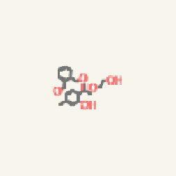 Cc1ccc(C(C)C)c(O)c1.O=Cc1ccccc1C=O.OCCO